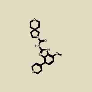 COc1ccc(C2=CCOCC2)c2nc(NC(=O)N3CCC4(CCOCC4)C3)[nH]c12